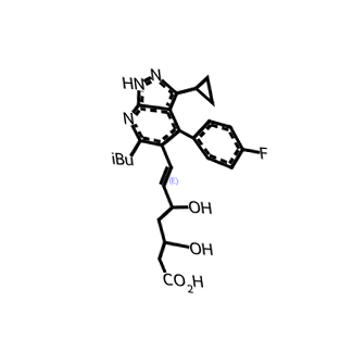 CCC(C)c1nc2[nH]nc(C3CC3)c2c(-c2ccc(F)cc2)c1/C=C/C(O)CC(O)CC(=O)O